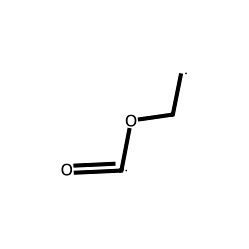 [CH2]CO[C]=O